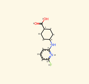 O=C(O)C1CCC(Nc2cccc(F)n2)CC1